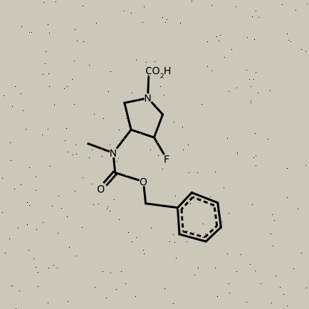 CN(C(=O)OCc1ccccc1)C1CN(C(=O)O)CC1F